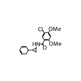 COc1cc(OC)c(C(=O)N[C@@H]2C[C@H]2C2C=CC=CC2)cc1Cl